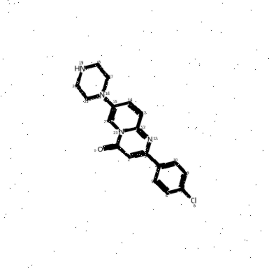 O=c1cc(-c2ccc(Cl)cc2)nc2ccc(N3CCNCC3)cn12